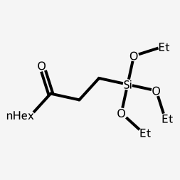 CCCCCCC(=O)CC[Si](OCC)(OCC)OCC